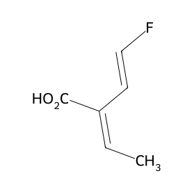 C/C=C(\C=C\F)C(=O)O